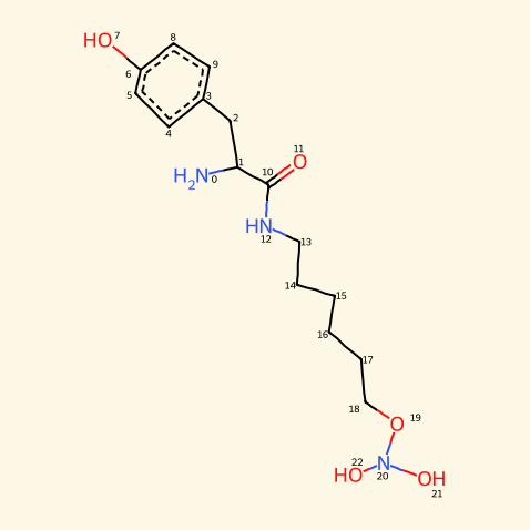 NC(Cc1ccc(O)cc1)C(=O)NCCCCCCON(O)O